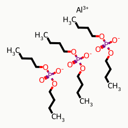 CCCCOP(=O)([O-])OCCCC.CCCCOP(=O)([O-])OCCCC.CCCCOP(=O)([O-])OCCCC.[Al+3]